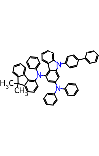 CC1(C)c2ccccc2-c2c(N(c3ccccc3)c3cc(N(c4ccccc4)c4ccccc4)cc4c3c3ccccc3n4-c3ccc(-c4ccccc4)cc3)cccc21